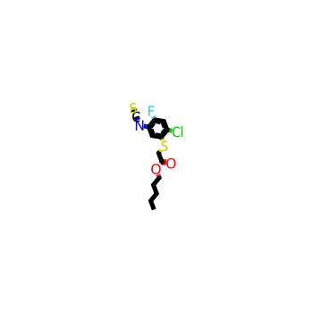 CCCCCOC(=O)CSc1cc(N=C=S)c(F)cc1Cl